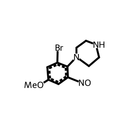 COc1cc(Br)c(N2CCNCC2)c(N=O)c1